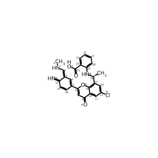 CN/C=C1/C=C(c2cc(=O)c3cc(Cl)cc([C@H](C)Nc4ccccc4C(=O)O)c3o2)C=CC1=N